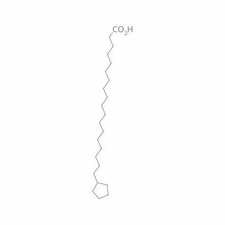 O=C(O)CCCCCCCCCCCCCCCCCC1CCCC1